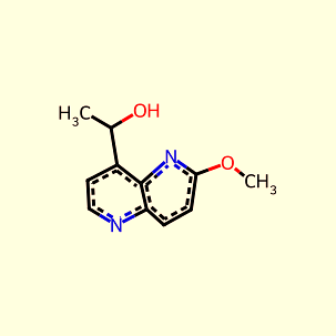 COc1ccc2nccc(C(C)O)c2n1